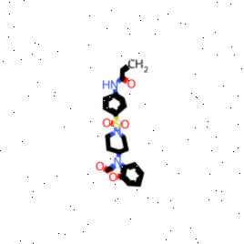 C=CC(=O)Nc1ccc(S(=O)(=O)N2CCC(n3c(=O)oc4ccccc43)CC2)cc1